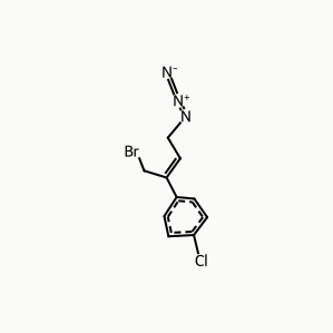 [N-]=[N+]=NCC=C(CBr)c1ccc(Cl)cc1